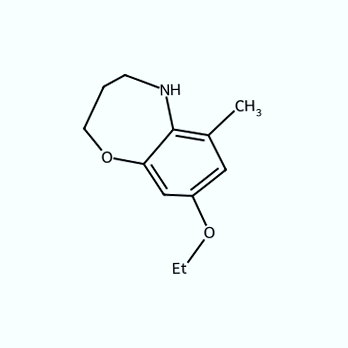 CCOc1cc(C)c2c(c1)OCCCN2